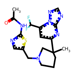 CC(=O)Nc1ncc(CN2CCCC(C)(c3cc(C(F)F)n4ncnc4n3)C2)s1